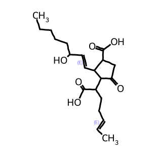 C/C=C/CCC(C(=O)O)C1C(=O)CC(C(=O)O)C1/C=C/C(O)CCCCC